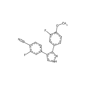 COc1ccc(-c2n[nH]cc2-c2ccc(C#N)c(F)c2)cc1F